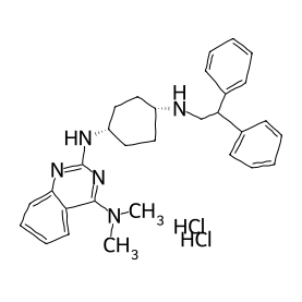 CN(C)c1nc(N[C@H]2CC[C@@H](NCC(c3ccccc3)c3ccccc3)CC2)nc2ccccc12.Cl.Cl